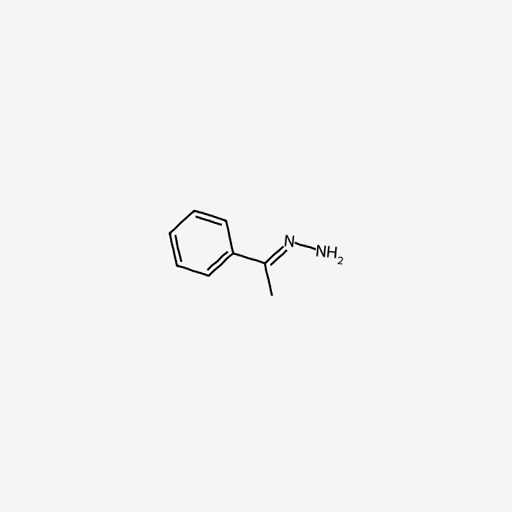 CC(=NN)c1ccccc1